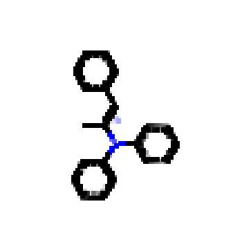 C/C(=C\c1ccccc1)N(c1ccccc1)c1ccccc1